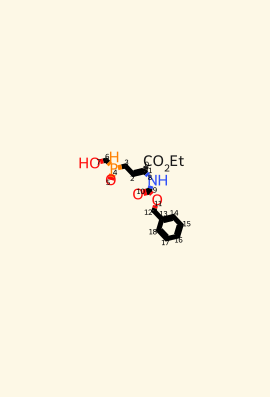 CCOC(=O)C(=CC[PH](=O)CO)NC(=O)OCc1ccccc1